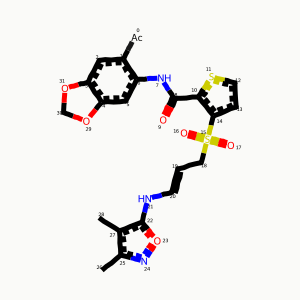 CC(=O)c1cc2c(cc1NC(=O)c1sccc1S(=O)(=O)CC=CNc1onc(C)c1C)OCO2